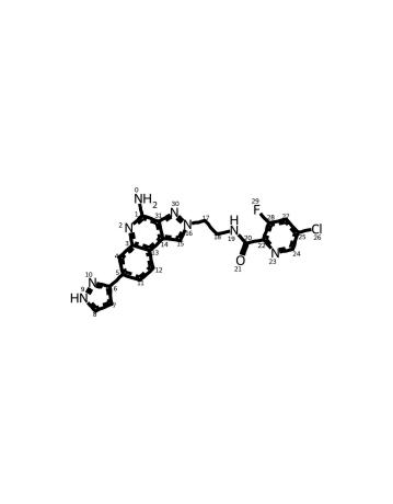 Nc1nc2cc(-c3cc[nH]n3)ccc2c2cn(CCNC(=O)c3ncc(Cl)cc3F)nc12